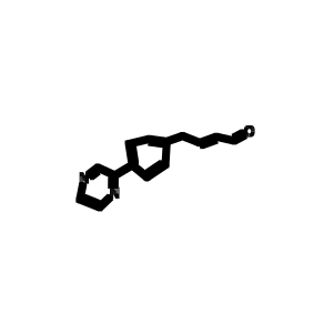 O=CC=CCc1ccc(-c2cnccn2)cc1